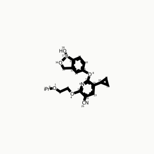 CC(C)OCCOc1nc(Oc2ccc3c(c2)COB3O)c(C2CC2)cc1C#N